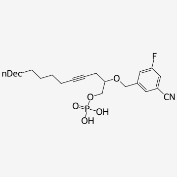 CCCCCCCCCCCCCCC#CCC(COP(=O)(O)O)OCc1cc(F)cc(C#N)c1